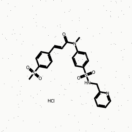 CN(C(=O)C=Cc1ccc(S(C)(=O)=O)cc1)c1ccc(S(=O)(=O)NCc2ccccn2)cc1.Cl